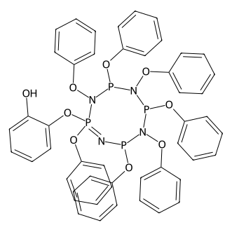 Oc1ccccc1OP1(Oc2ccccc2)=NP(Oc2ccccc2)N(Oc2ccccc2)P(Oc2ccccc2)N(Oc2ccccc2)P(Oc2ccccc2)N1Oc1ccccc1